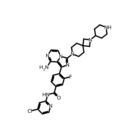 Nc1nccn2c(N3CCC4(CC3)CN(C3CCNCC3)C4)nc(-c3ccc(C(=O)Nc4cc(Cl)ccn4)cc3F)c12